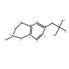 CN1CCc2cc(CC(C)(C)C)ccc2C1